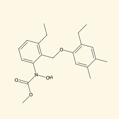 CCc1cc(C)c(C)cc1OCc1c(CC)cccc1N(O)C(=O)OC